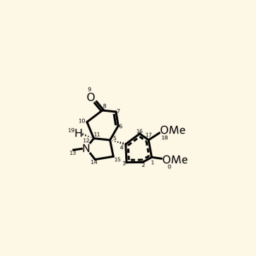 COc1ccc([C@@]23C=CC(=O)C[C@@H]2N(C)CC3)cc1OC